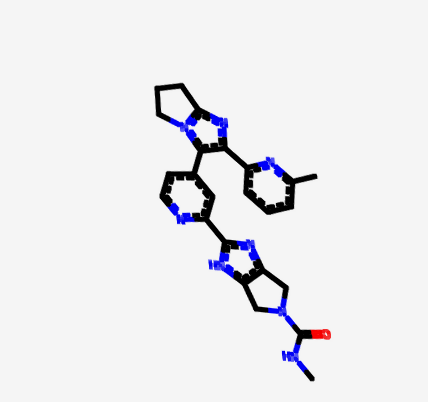 CNC(=O)N1Cc2nc(-c3cc(-c4c(-c5cccc(C)n5)nc5n4CCC5)ccn3)[nH]c2C1